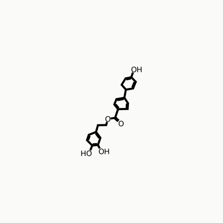 O=C(OCCc1ccc(O)c(O)c1)c1ccc(C2C=CC(O)=CC2)cc1